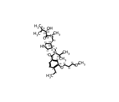 CCc1ccc(C(=O)N(C[C@@H]2CNC[C@H]2CN(C)C(=O)[C@@H](O)C(C)C)C(C)C)cc1OCCCOC